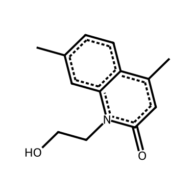 Cc1ccc2c(C)cc(=O)n(CCO)c2c1